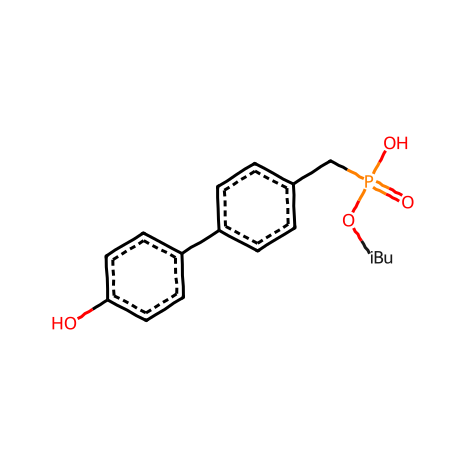 CCC(C)OP(=O)(O)Cc1ccc(-c2ccc(O)cc2)cc1